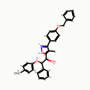 Cc1c(-c2ccc(OCc3ccccc3)cc2)noc1C(O)C(Oc1ccc(C=O)cc1)c1ccccc1